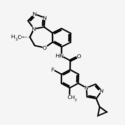 Cc1cc(F)c(C(=O)Nc2cccc3c2OC[C@H](C)n2cnnc2-3)cc1-n1cnc(C2CC2)c1